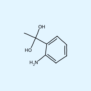 CC(O)(O)c1ccccc1N